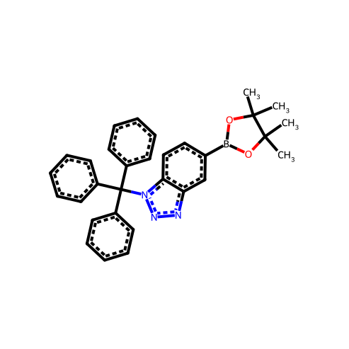 CC1(C)OB(c2ccc3c(c2)nnn3C(c2ccccc2)(c2ccccc2)c2ccccc2)OC1(C)C